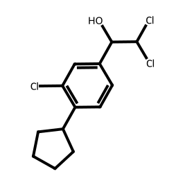 OC(c1ccc(C2CCCC2)c(Cl)c1)C(Cl)Cl